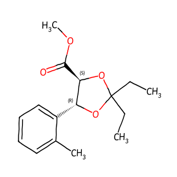 CCC1(CC)O[C@H](C(=O)OC)[C@@H](c2ccccc2C)O1